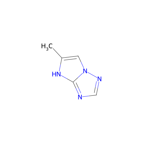 Cc1cn2ncnc2[nH]1